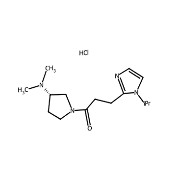 CC(C)n1ccnc1CCC(=O)N1CC[C@H](N(C)C)C1.Cl